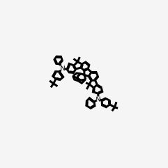 CC(C)(C)c1ccc(N(c2ccccc2)c2ccc3c(c2)C(C)(C)c2ccc4c(c2-3)C2(c3c-4ccc4c3C(C)(C)c3cc(N(c5ccccc5)c5ccc(C(C)(C)C)cc5)ccc3-4)C3CC4CC(C3)CC2C4)cc1